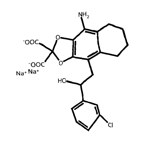 Nc1c2c(c(CC(O)c3cccc(Cl)c3)c3c1OC(C(=O)[O-])(C(=O)[O-])O3)CCCC2.[Na+].[Na+]